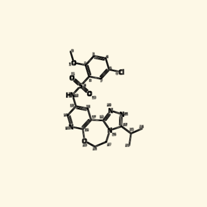 COc1ccc(Cl)cc1S(=O)(=O)Nc1cnc2c(c1)-c1nnc(C(C)C)n1CCO2